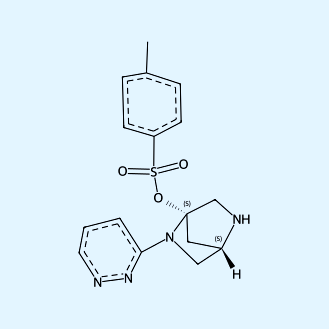 Cc1ccc(S(=O)(=O)O[C@@]23CN[C@H](CN2c2cccnn2)C3)cc1